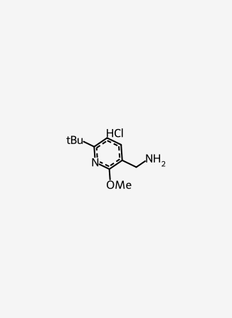 COc1nc(C(C)(C)C)ccc1CN.Cl